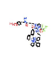 CCCc1nc(-n2cccc2C(=O)C(F)(F)F)c(C(=O)N(C)CCCCCC(=O)NCCc2ccc(O)cc2)n1-c1ccc(-c2ccccc2)c(-c2nnn(C(c3ccccc3)(c3ccccc3)c3ccccc3)n2)c1